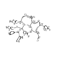 CCC(C)(C(=O)O)c1c(C)cnc2cc(C)c(F)cc12